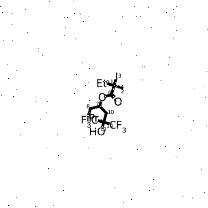 CCC(C)(I)C(=O)OC(CC(C)C)CC(O)(C(F)(F)F)C(F)(F)F